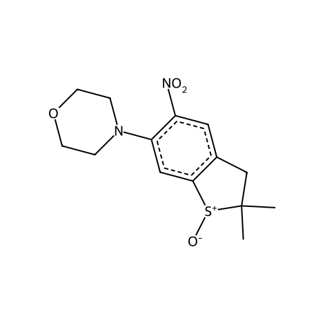 CC1(C)Cc2cc([N+](=O)[O-])c(N3CCOCC3)cc2[S+]1[O-]